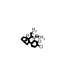 CCC(=NOC)C1=C(c2ccc(Cl)c(Cl)c2)CC2CC[C@@H]1C2